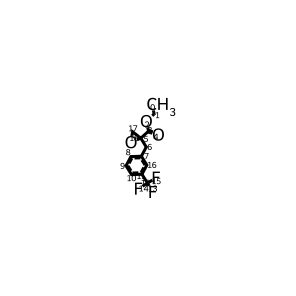 CCOC(=O)C1(Cc2cccc(C(F)(F)F)c2)CO1